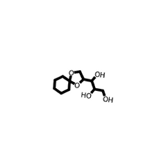 OCC(O)C(O)C1COC2(CCCCC2)O1